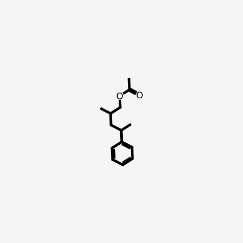 CC(=O)OCC(C)CC(C)c1ccccc1